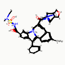 COc1ccc2c(c1)C=C(C(=O)N1CC34COCC3(CN(C(C)=O)C4)C1)Cn1c-2c(C2CCCCC2)c2ccc(C(=O)NS(=O)(=O)N(C)C)cc21